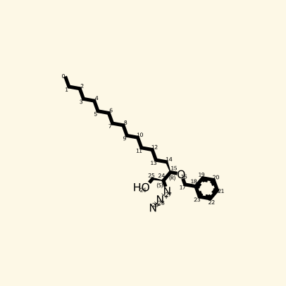 CCCCCCCCCCCCCCC[C@@H](OCc1ccccc1)[C@H](CO)N=[N+]=[N-]